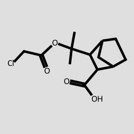 CC(C)(OC(=O)CCl)C1C2CCC(C2)C1C(=O)O